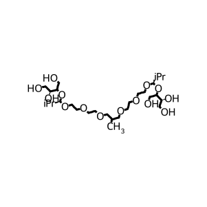 CC(COCCOCCO[C@H](OC(CO)[C@H](O)CO)C(C)C)COCCOCCO[C@H](OC(CO)[C@H](O)CO)C(C)C